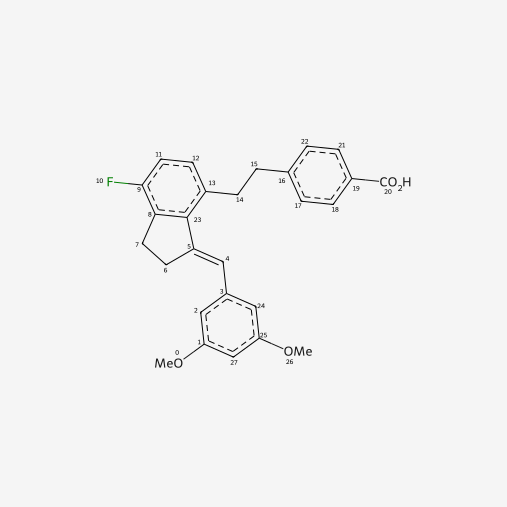 COc1cc(/C=C2\CCc3c(F)ccc(CCc4ccc(C(=O)O)cc4)c32)cc(OC)c1